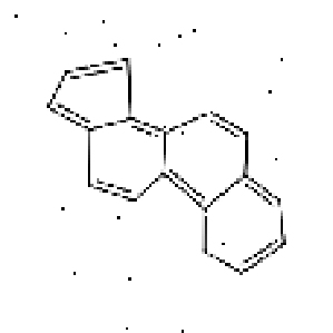 C1=CCc2c(ccc3c4c(ccc23)=CC=C4)=C1